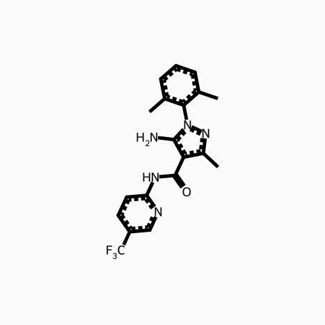 Cc1cccc(C)c1-n1nc(C)c(C(=O)Nc2ccc(C(F)(F)F)cn2)c1N